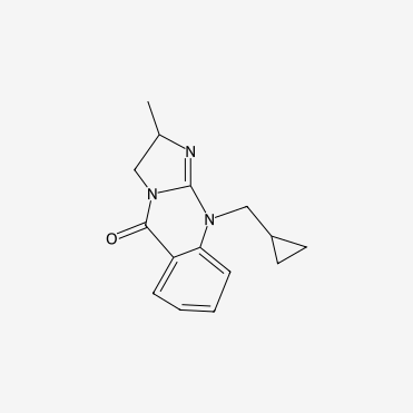 CC1CN2C(=O)c3ccccc3N(CC3CC3)C2=N1